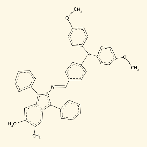 COc1ccc(N(c2ccc(C=Nn3c(-c4ccccc4)c4cc(C)c(C)cc4c3-c3ccccc3)cc2)c2ccc(OC)cc2)cc1